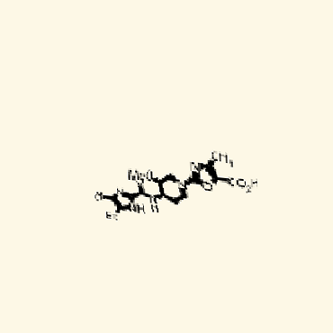 CCc1[nH]c(C(=O)NC2CCN(c3nc(C)c(C(=O)O)o3)CC2OC)nc1Cl